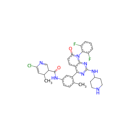 Cc1ccc(NC(=O)C2C=NC(Cl)=CC2C)cc1-c1nc(NC2CCNCC2)nc2c1ccc(=O)n2-c1c(F)cccc1F